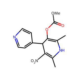 COC(=O)OC1=C(C)NC(C)=C([N+](=O)[O-])C1c1ccncc1